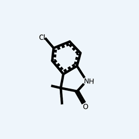 CC1(C)C(=O)Nc2ccc(Cl)cc21